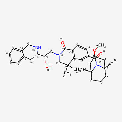 CO[C@@H]1C[C@H]2CCC[C@@H](C1)N2C(=O)c1ccc2c(c1)C(C)(C)CN(C[C@H](O)[C@@H]1Cc3ccccc3CN1)C2=O